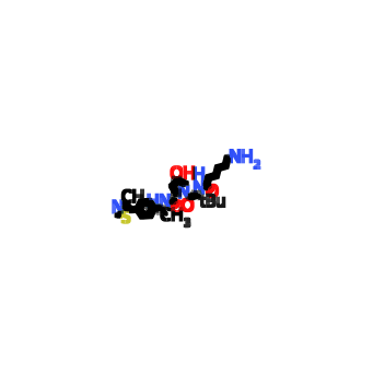 Cc1ncsc1-c1ccc([C@H](C)NC(=O)[C@@H]2C[C@@H](O)CN2C(=O)[C@@H](NC(=O)CCCCCN)C(C)(C)C)cc1